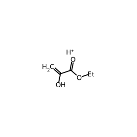 C=C(O)C(=O)OCC.[H+]